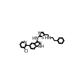 Clc1cccnc1-c1ccc2[nH]nc(Nc3ncc(CNCCc4ccccc4)s3)c2c1